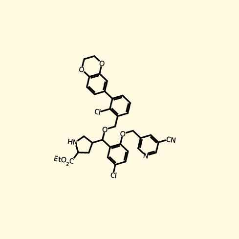 CCOC(=O)C1CC(C(OCc2cccc(-c3ccc4c(c3)OCCO4)c2Cl)c2cc(Cl)ccc2OCc2cncc(C#N)c2)CN1